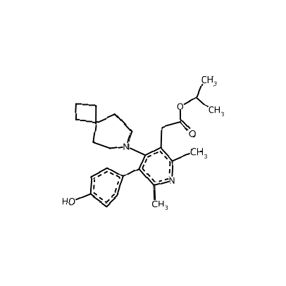 Cc1nc(C)c(-c2ccc(O)cc2)c(N2CCC3(CCC3)CC2)c1CC(=O)OC(C)C